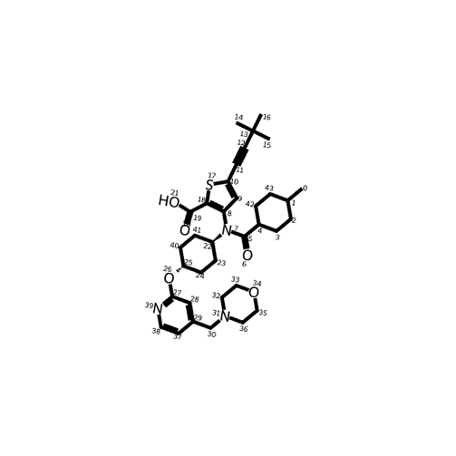 CC1CCC(C(=O)N(c2cc(C#CC(C)(C)C)sc2C(=O)O)[C@H]2CC[C@H](Oc3cc(CN4CCOCC4)ccn3)CC2)CC1